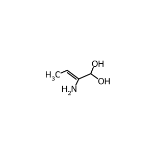 C/C=C(\N)C(O)O